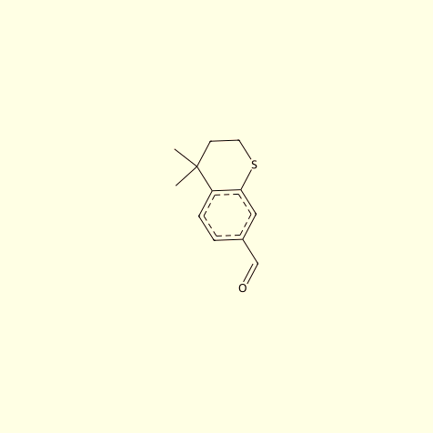 CC1(C)CCSc2cc(C=O)ccc21